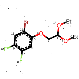 CCOC(COc1cc(F)c(F)cc1Br)OCC